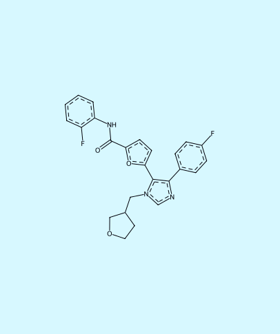 O=C(Nc1ccccc1F)c1ccc(-c2c(-c3ccc(F)cc3)ncn2CC2CCOC2)o1